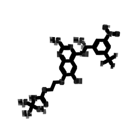 Cc1nc(N[C@H](C)c2cc([N+](=O)[O-])cc(C(F)(F)F)c2)c2cc(O)c(OCCOC(=O)NC(C)(C)C)cc2n1